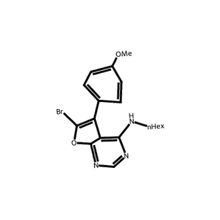 CCCCCCNc1ncnc2oc(Br)c(-c3ccc(OC)cc3)c12